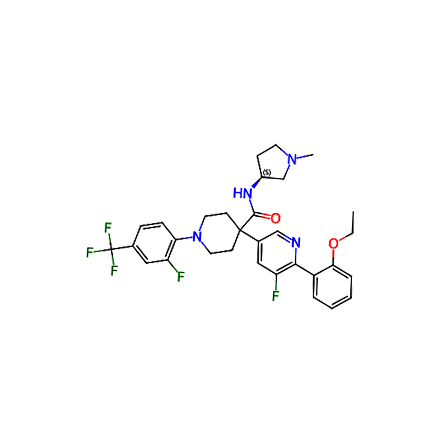 CCOc1ccccc1-c1ncc(C2(C(=O)N[C@H]3CCN(C)C3)CCN(c3ccc(C(F)(F)F)cc3F)CC2)cc1F